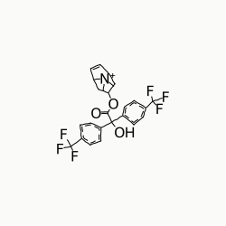 C[N+]1(C)C2C=CC1CC(OC(=O)C(O)(c1ccc(C(F)(F)F)cc1)c1ccc(C(F)(F)F)cc1)C2